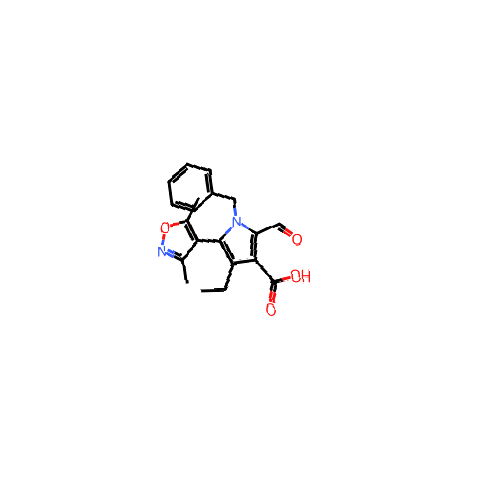 CCc1c(C(=O)O)c(C=O)n(Cc2ccccc2)c1-c1c(C)noc1C